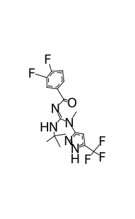 CN(/C(=N\C(=O)c1ccc(F)c(F)c1)NC(C)(C)C)c1cc(C(F)(F)F)[nH]n1